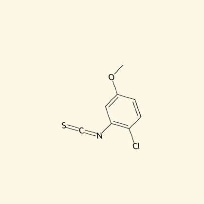 COc1ccc(Cl)c(N=C=S)c1